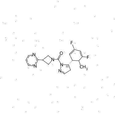 CC1C(F)=CC(F)=CC1[C@@H]1CC=NN1C(=O)N1CC(c2ncccn2)C1